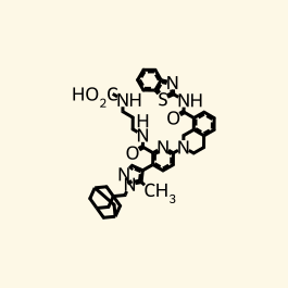 Cc1c(-c2ccc(N3CCc4cccc(C(=O)Nc5nc6ccccc6s5)c4C3)nc2C(=O)NCCCNC(=O)O)cnn1CC12CC3CC(CC(C3)C1)C2